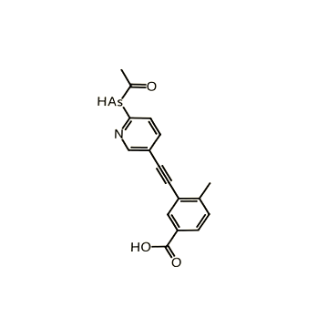 CC(=O)[AsH]c1ccc(C#Cc2cc(C(=O)O)ccc2C)cn1